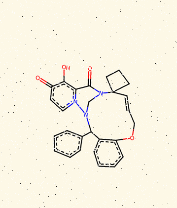 O=C1c2c(O)c(=O)ccn2N2CN1C1(/C=C/COc3ccccc3C2c2ccccc2)CCC1